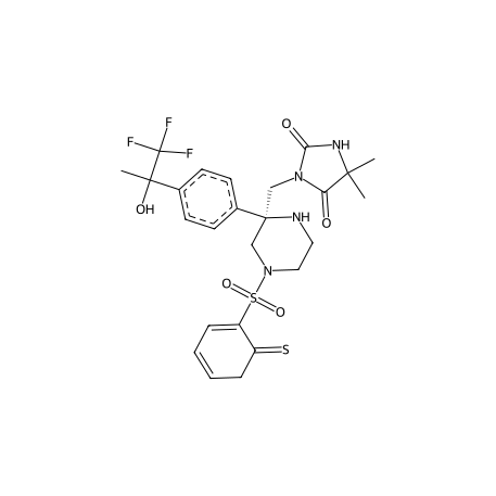 CC1(C)NC(=O)N(C[C@@]2(c3ccc(C(C)(O)C(F)(F)F)cc3)CN(S(=O)(=O)C3=CC=CCC3=S)CCN2)C1=O